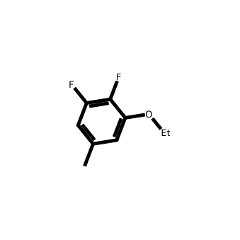 CCOc1cc(C)cc(F)c1F